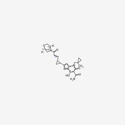 CC1(Cn2c(=O)c(C(N)=O)c(O)n3nc(C4CC4/C=C/C(=O)N4C[C@@H]5C[C@H]4CO5)cc23)CC1